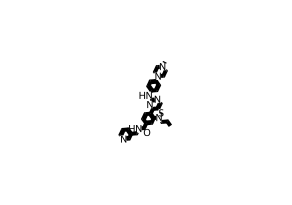 CCCN1Sc2cnc(Nc3ccc(N4CCN(C)CC4)cc3)nc2-c2ccc(C(=O)NCc3cccnc3)cc21